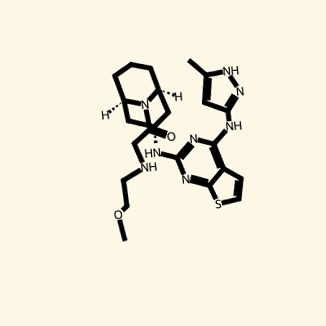 COCCNCC(=O)N1[C@@H]2CCC[C@H]1C[C@H](Nc1nc(Nc3cc(C)[nH]n3)c3ccsc3n1)C2